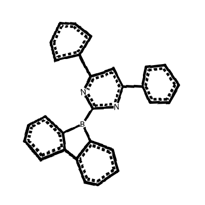 c1ccc(-c2cc(-c3ccccc3)nc(B3c4ccccc4-c4ccccc43)n2)cc1